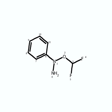 NN(OC(F)F)c1ccccc1